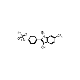 CCn1c(-c2ccc(NS(=O)(=O)CC)cc2)c(C#N)c2ccc(C(F)(F)F)cc21